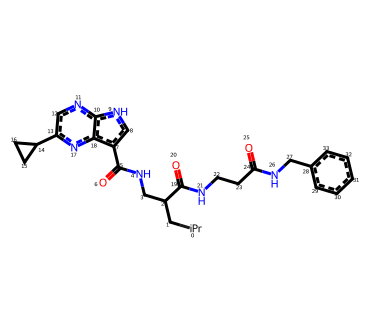 CC(C)CC(CNC(=O)c1c[nH]c2ncc(C3CC3)nc12)C(=O)NCCC(=O)NCc1ccccc1